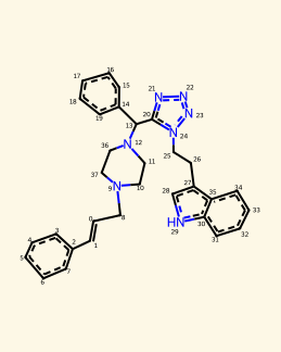 C(=Cc1ccccc1)CN1CCN(C(c2ccccc2)c2nnnn2CCc2c[nH]c3ccccc23)CC1